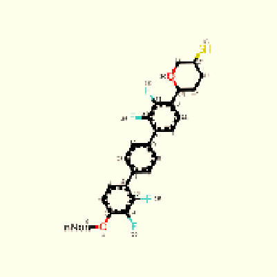 CCCCCCCCCOc1ccc(-c2ccc(-c3ccc(C4CCC(S)CO4)c(F)c3F)cc2)c(F)c1F